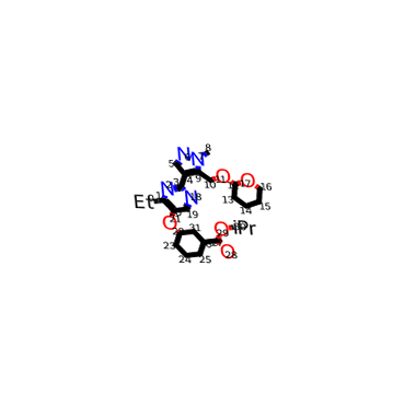 CCc1nc(-c2cnn(C)c2COC2CCCCO2)ncc1OC1CCCC(C(=O)OC(C)C)C1